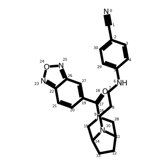 N#Cc1ccc(NCCCN2C3CCC2CN(C(=O)c2ccc4nonc4c2)C3)cc1